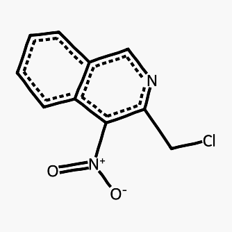 O=[N+]([O-])c1c(CCl)ncc2ccccc12